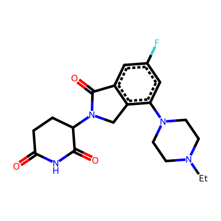 CCN1CCN(c2cc(F)cc3c2CN(C2CCC(=O)NC2=O)C3=O)CC1